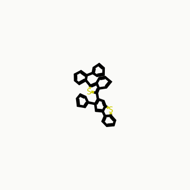 c1ccc(-c2ccccc2-c2sc(-c3cc4sc5ccccc5c4cc3-c3ccccc3)c3ccccc23)cc1